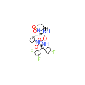 COC(=O)N[C@H](C(=O)N[C@H]1CCC[C@@H]1CC[C@H]1CN[C@@H]2CCCS(=O)(=O)N1C2)[C@@H](c1ccc(F)cc1)c1cc(F)cc(F)c1